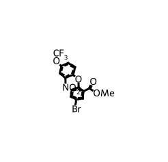 COC(=O)c1cc(Br)ccc1Oc1ccc(OC(F)(F)F)cc1[N+](=O)[O-]